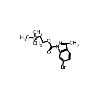 Cc1nn(C(=O)OCC[Si](C)(C)C)c2cc(Br)ccc12